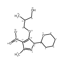 Cc1nn(C2CCCCO2)c(OCC(C)CO)c1[N+](=O)[O-]